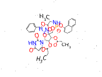 CCC(=O)O[C@H]1[C@H](n2ccc(=O)[nH]c2=O)O[C@](N)(COP(=O)(N[C@@H](C)C(=O)OCc2ccccc2)Oc2cccc3ccccc23)[C@H]1OC(=O)CC